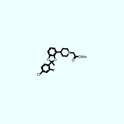 COC(=O)CN1CCC(c2cccc3c2OC(C)(c2ccc(Cl)cc2F)O3)CC1